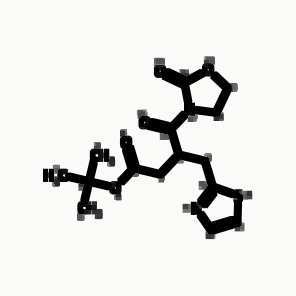 CC(C)(C)OC(=O)CC(Cc1nccs1)C(=O)N1CCOC1=O